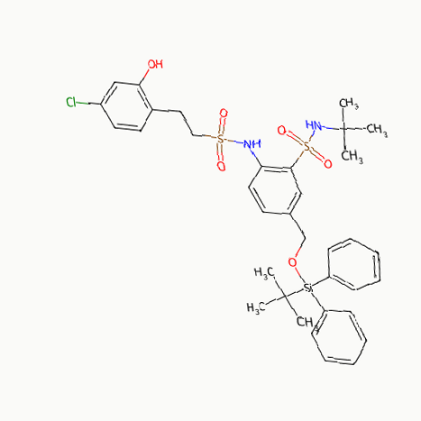 CC(C)(C)NS(=O)(=O)c1cc(CO[Si](c2ccccc2)(c2ccccc2)C(C)(C)C)ccc1NS(=O)(=O)CCc1ccc(Cl)cc1O